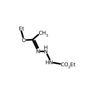 CCOC(=O)NN/N=C(\C)OCC